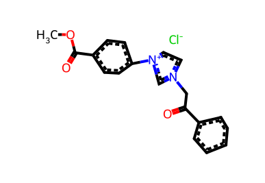 COC(=O)c1ccc(-[n+]2ccn(CC(=O)c3ccccc3)c2)cc1.[Cl-]